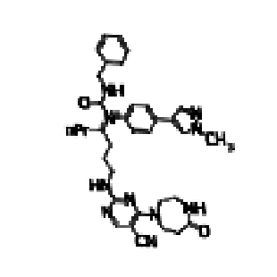 CCC/C(CCCNc1ncc(C#N)c(N2CCNC(=O)CC2)n1)=[N+](\C(=O)NCc1ccccc1)c1ccc(-c2cnn(C)c2)cc1